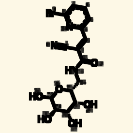 N#C/C(=C\c1cccc(Br)n1)C(=O)NC[C@H]1O[C@H](O)[C@H](O)[C@@H](O)[C@H]1O